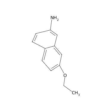 CCOc1ccc2ccc(N)cc2c1